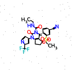 CCNC(=O)N1C(=O)N(c2ccnc(C(F)(F)F)c2)C2=C(C(=O)CC2)[C@H]1c1ccc(C#N)cc1S(=O)(=O)CC